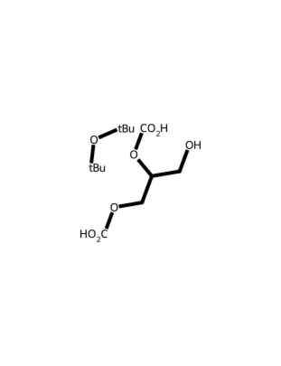 CC(C)(C)OC(C)(C)C.O=C(O)OCC(CO)OC(=O)O